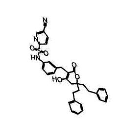 N#Cc1ccc(S(=O)(=O)Nc2cccc(CC3=C(O)CC(CCc4ccccc4)(CCc4ccccc4)OC3=O)c2)nc1